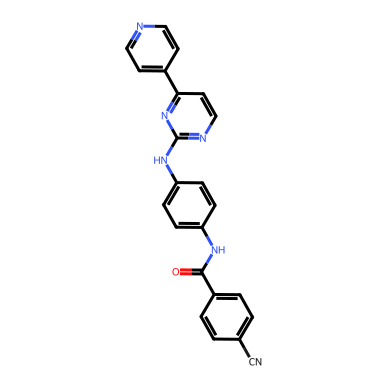 N#Cc1ccc(C(=O)Nc2ccc(Nc3nccc(-c4ccncc4)n3)cc2)cc1